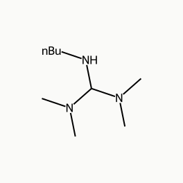 CCCCNC(N(C)C)N(C)C